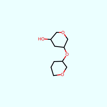 OC1COCC(OC2CCCOC2)C1